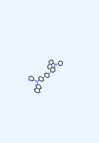 c1ccc(-n2c3cccc4ccc5c(-c6ccc(-c7ccc(N(c8cccnc8)c8ccc9ccccc9c8)cc7)cc6)ccc2c5c43)cc1